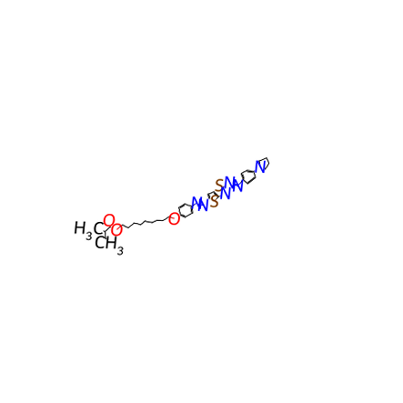 CCC(C)C(=O)OCCCCCCCCCOc1ccc(N=Nc2cc3sc(N=Nc4ccc(N5CCCC5)cc4)nc3s2)cc1